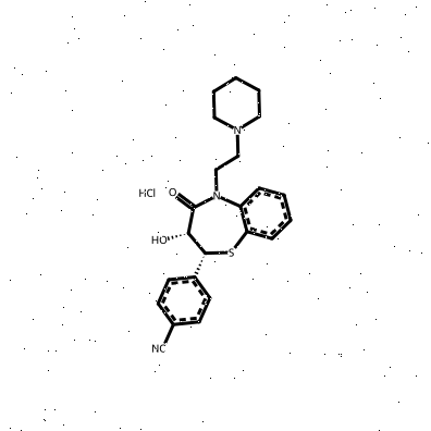 Cl.N#Cc1ccc([C@H]2Sc3ccccc3N(CCN3CCCCC3)C(=O)[C@H]2O)cc1